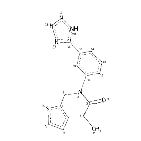 CCC(=O)N(Cc1cccs1)c1cccc(-c2nnn[nH]2)c1